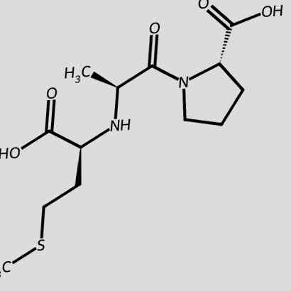 CSCC[C@H](N[C@@H](C)C(=O)N1CCC[C@H]1C(=O)O)C(=O)O